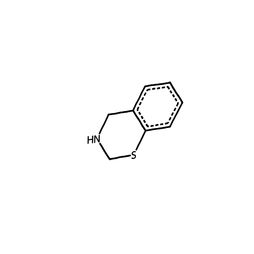 c1ccc2c(c1)CNCS2